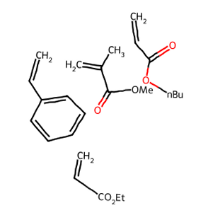 C=C(C)C(=O)OC.C=CC(=O)OCC.C=CC(=O)OCCCC.C=Cc1ccccc1